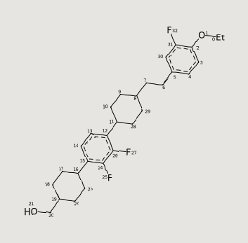 CCOc1ccc(CCC2CCC(c3ccc(C4CCC(CO)CC4)c(F)c3F)CC2)cc1F